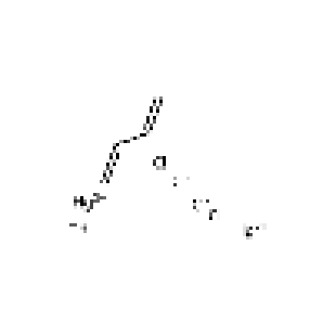 C=CC=C.[Cl-].[Cl-].[Cl-].[Cl-].[Hg+2].[Hg+2].[Hg]